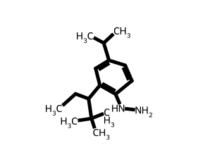 CCC(c1cc(C(C)C)ccc1NN)C(C)(C)C